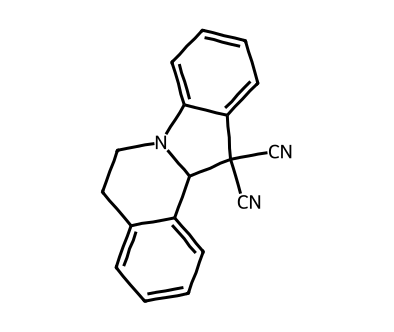 N#CC1(C#N)c2ccccc2N2CCc3ccccc3C21